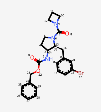 O=C(N[C@H]1CCN(C(=O)N2CCC2)[C@H]1Cc1cccc(Br)c1)OCc1ccccc1